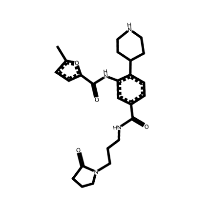 Cc1ccc(C(=O)Nc2cc(C(=O)NCCCN3CCCC3=O)ccc2C2CCNCC2)o1